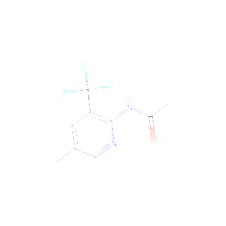 CC(=O)Nc1ncc(C)cc1C(F)(F)F